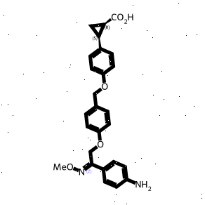 CO/N=C(\COc1ccc(COc2ccc([C@H]3C[C@H]3C(=O)O)cc2)cc1)c1ccc(N)cc1